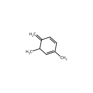 C=C1C=CC(C)=CC1C